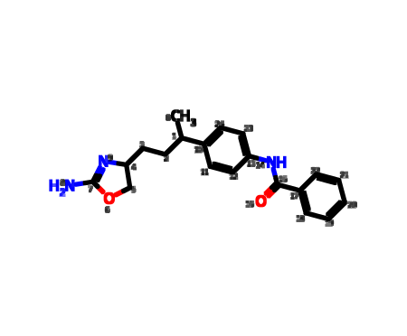 CC(CCC1COC(N)=N1)c1ccc(NC(=O)c2ccccc2)cc1